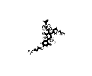 CC(C)Cn1ccc(C2=C(C(=O)NS(=O)(=O)C3CC3)C(=O)N[C@@](c3ccc(OCCCC(F)(F)F)cc3F)(C(F)(F)F)C2)n1